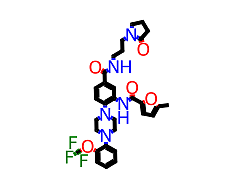 Cc1ccc(C(=O)Nc2cc(C(=O)NCCCN3CCCC3=O)ccc2N2CCN(c3ccccc3OC(F)(F)F)CC2)o1